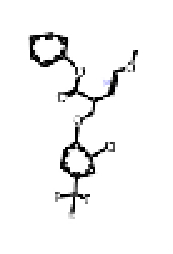 CO/C=C/C(COc1ccc(C(F)(F)F)cc1Cl)C(=O)Oc1ccccc1